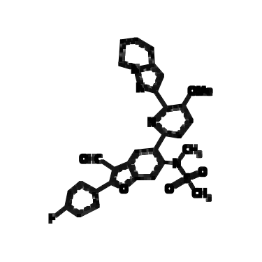 COc1ccc(-c2cc3c(C=O)c(-c4ccc(F)cc4)oc3cc2N(C)S(C)(=O)=O)nc1-c1cc2ccccn2n1